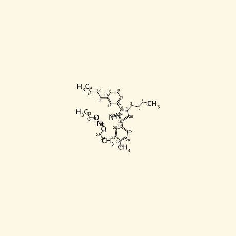 CCCCC1=C(c2cccc(CCCC)c2)[N+](=[N-])C(c2ccc(C)cc2)=C1.CC[O][Ni][O]CC